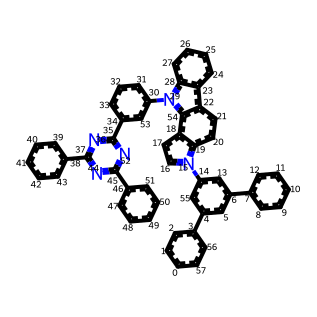 c1ccc(-c2cc(-c3ccccc3)cc(-n3ccc4c3ccc3c5ccccc5n(-c5cccc(-c6nc(-c7ccccc7)nc(-c7ccccc7)n6)c5)c34)c2)cc1